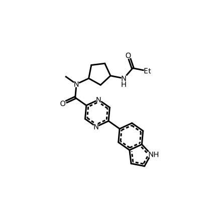 CCC(=O)NC1CCC(N(C)C(=O)c2cnc(-c3ccc4[nH]ccc4c3)cn2)C1